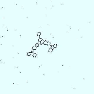 c1ccc(-c2cc3c4cc5ccc(-n6c7ccccc7c7ccccc76)cc5cc4n4c5cc6cc(-n7c8ccccc8c8ccccc87)ccc6cc5c(c2)c34)cc1